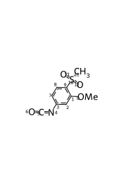 COc1cc(N=C=O)ccc1S(C)(=O)=O